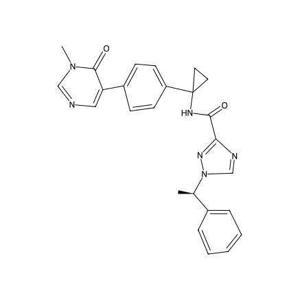 C[C@H](c1ccccc1)n1cnc(C(=O)NC2(c3ccc(-c4cncn(C)c4=O)cc3)CC2)n1